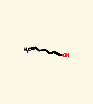 C=CCCCC=CO